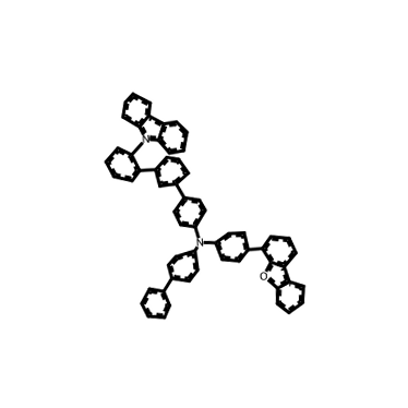 c1ccc(-c2ccc(N(c3ccc(-c4cccc(-c5ccccc5-n5c6ccccc6c6ccccc65)c4)cc3)c3ccc(-c4cccc5c4oc4ccccc45)cc3)cc2)cc1